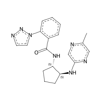 Cc1cnc(N[C@H]2CCC[C@@H]2NC(=O)c2ccccc2-n2ccnn2)cn1